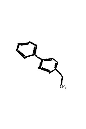 CCc1ccc(-c2cc[c]cc2)cc1